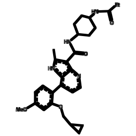 CCC(=O)NC1CCC(NC(=O)c2c(C)[nH]c3c(-c4ccc(OC)cc4OCC4CC4)ccnc23)CC1